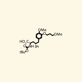 COCCCOc1cc(C[C@@H](C[C@H](NC(=O)OC(C)(C)C)C(=O)O)C(C)C)ccc1OC